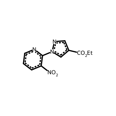 CCOC(=O)c1cnn(-c2ncccc2[N+](=O)[O-])c1